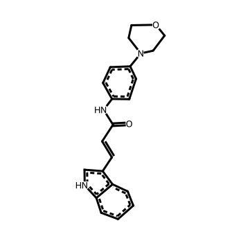 O=C(C=Cc1c[nH]c2ccccc12)Nc1ccc(N2CCOCC2)cc1